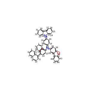 c1ccc(-c2cccc3cccc(-c4ccc(N(c5ccc(-n6c7ccccc7c7ccccc76)cc5)c5ccc6oc7ccccc7c6c5)cc4)c23)cc1